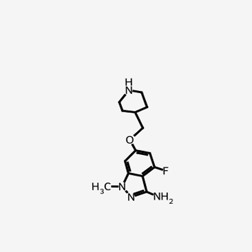 Cn1nc(N)c2c(F)cc(OCC3CCNCC3)cc21